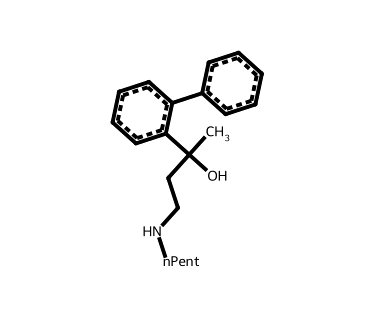 CCCCCNCCC(C)(O)c1ccccc1-c1ccccc1